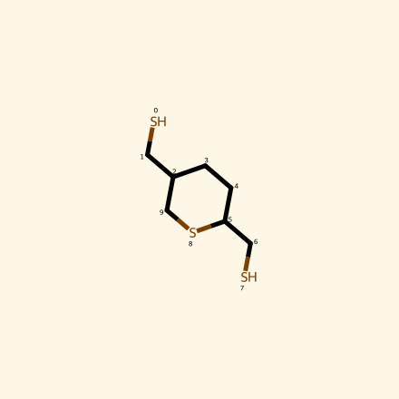 SCC1CCC(CS)SC1